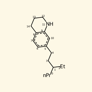 CCCC(CC)CCc1ccc2c(c1)NCCC2